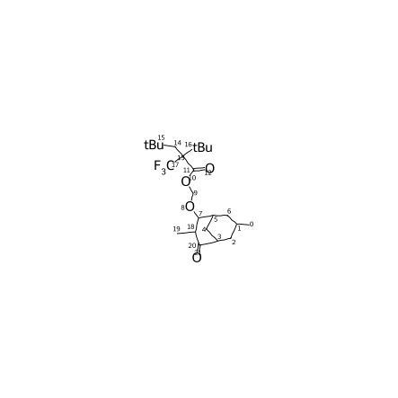 CC1CC2CC(C1)C(OCOC(=O)C(CC(C)(C)C)(C(C)(C)C)C(F)(F)F)C(C)C2=O